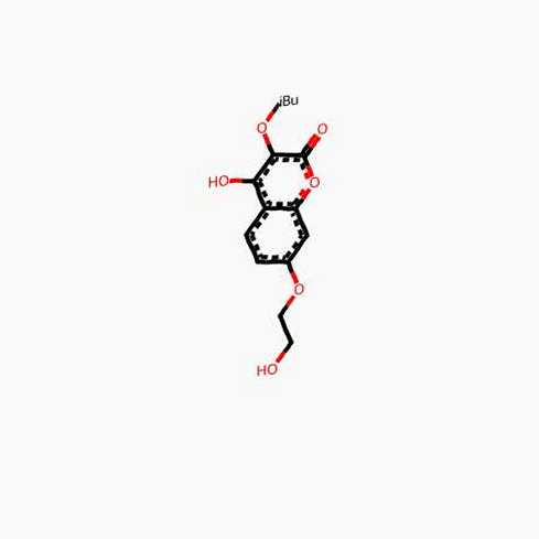 CCC(C)Oc1c(O)c2ccc(OCCO)cc2oc1=O